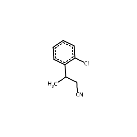 CC(CC#N)c1ccccc1Cl